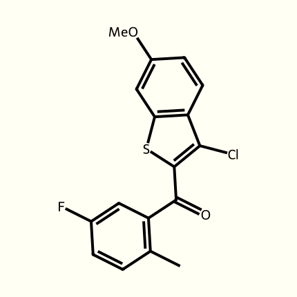 COc1ccc2c(Cl)c(C(=O)c3cc(F)ccc3C)sc2c1